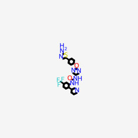 Nc1ncc(-c2ccc(Oc3ncc(NC(=O)Nc4cc(C(F)(F)F)ccc4-c4cccnc4)cn3)cc2)s1